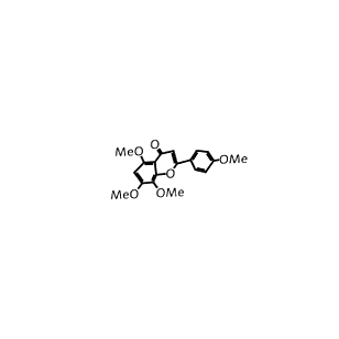 COc1ccc(-c2cc(=O)c3c(OC)cc(OC)c(OC)c3o2)cc1